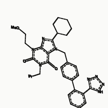 COCCn1c(=O)n(CC(C)C)c(=O)c2c1nc(C1CCCCC1)n2Cc1ccc(-c2ccccc2-c2nnn[nH]2)cc1